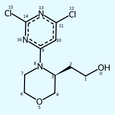 OCC[C@H]1COCCN1c1cc(Cl)nc(Cl)n1